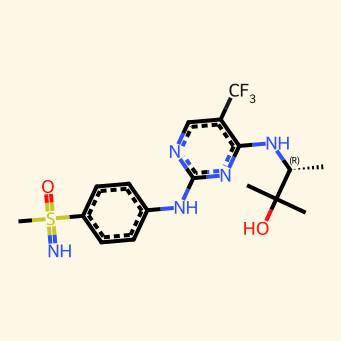 C[C@@H](Nc1nc(Nc2ccc(S(C)(=N)=O)cc2)ncc1C(F)(F)F)C(C)(C)O